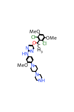 COc1cc(Nc2ncc(OC(C)c3c(Cl)c(OC)cc(OC)c3Cl)cn2)ccc1N1CCC(N2CCNCC2)CC1